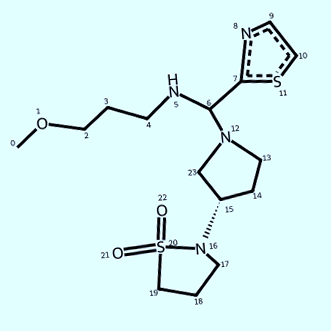 COCCCNC(c1nccs1)N1CC[C@H](N2CCCS2(=O)=O)C1